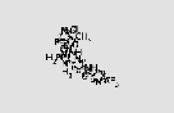 C[C@@H](OC(=O)N/C(=C(/N)c1ccc(NC(=O)c2cnc(C(F)(F)F)nc2)cn1)N(C)N)c1cc(F)cnc1Cl